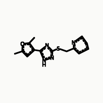 Cc1cc(-c2nc(SCc3ccccn3)n[nH]2)c(C)o1